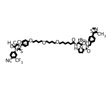 Cc1ncsc1-c1ccc(CNC(=O)[C@@H]2CCCN2C(=O)C(NC(=O)CCCCCOCCCCOCCCCOc2ccc(N3C(=S)N(c4ccc(C#N)c(C(F)(F)F)c4)C(=O)C3(C)C)cc2)C(C)(C)C)cc1